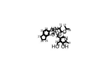 Cc1ncc(COP(=O)(N[C@@H](C)C(=O)OC(C)C)Oc2ccc3c(c2)CCC3)c(CO)c1O